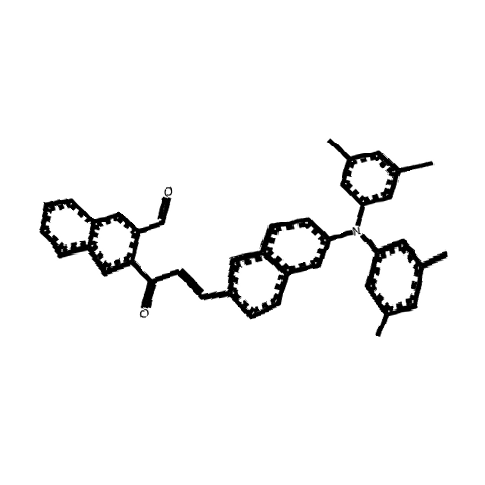 Cc1cc(C)cc(N(c2cc(C)cc(C)c2)c2ccc3cc(C=CC(=O)c4cc5ccccc5cc4C=O)ccc3c2)c1